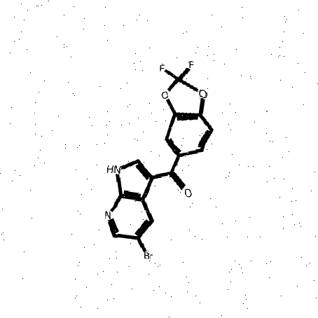 O=C(c1ccc2c(c1)OC(F)(F)O2)c1c[nH]c2ncc(Br)cc12